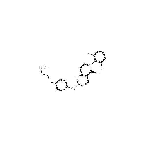 CNCCOc1ccc(Nc2ncc3c(=O)n(-c4c(Cl)cccc4Cl)ccc3n2)cc1